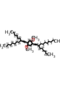 CCCCCCCCC(C#Cc1cc(OC)c(C#CC(CCCCCC)CCCCCCCC)cc1OC)CCCCCC